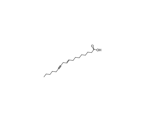 CCCCCC#CCC=CCCCCCCCC(=O)O